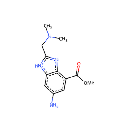 COC(=O)c1cc(N)cc2[nH]c(CN(C)C)nc12